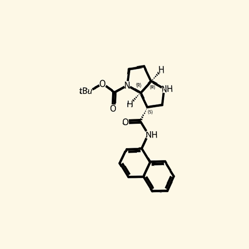 CC(C)(C)OC(=O)N1CC[C@H]2NC[C@H](C(=O)Nc3cccc4ccccc34)[C@H]21